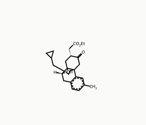 CCOC(=O)C[C@H]1C[C@@]2(O)[C@H]3Cc4ccc(C)cc4[C@@]2(CCN3CC2CC2)CC1=O